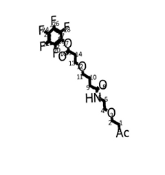 CC(=O)CCOCCNC(=O)CCCOCCC(=O)Oc1c(F)c(F)c(F)c(F)c1F